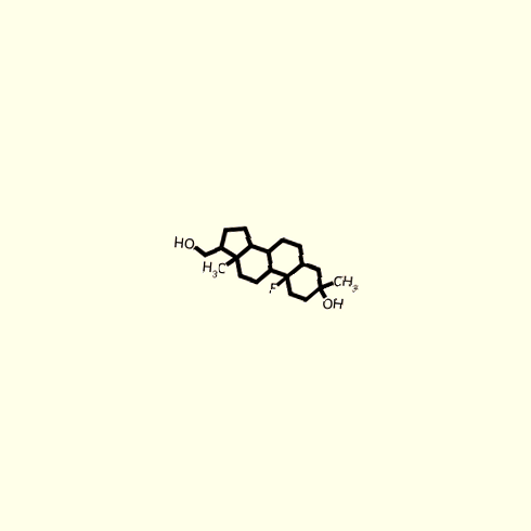 CC1(O)CCC2(F)C(CCC3C4CCC(CO)C4(C)CCC32)C1